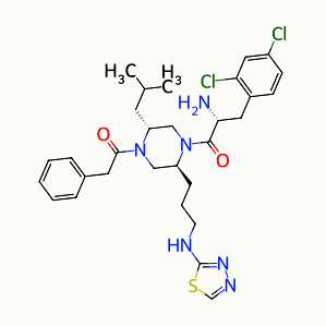 CC(C)C[C@@H]1CN(C(=O)[C@H](N)Cc2ccc(Cl)cc2Cl)[C@@H](CCCNc2nncs2)CN1C(=O)Cc1ccccc1